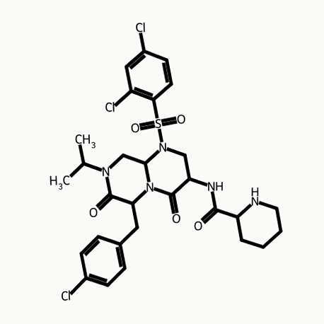 CC(C)N1CC2N(C(=O)C(NC(=O)C3CCCCN3)CN2S(=O)(=O)c2ccc(Cl)cc2Cl)C(Cc2ccc(Cl)cc2)C1=O